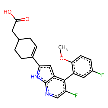 COc1ccc(F)cc1-c1c(F)cnc2[nH]c(C3=CCC(CC(=O)O)CC3)cc12